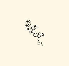 CC=Cc1cc(=O)oc2cc(N[C@H](C=O)[C@H](O)[C@@H](O)[C@@H](O)CO)ccc12